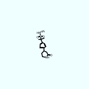 CCCNS(=O)(=O)C(C)(C)c1ccc(C2CCNC(=O)C2)cc1